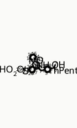 CCCCCC(O)c1ccc(CC(NS(=O)(=O)c2ccccn2)c2ccc(OCC(=O)O)cc2)cc1